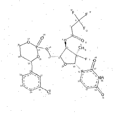 C[C@@]1(F)[C@H](OC(=O)CC(F)(F)F)[C@@H](COP2(=O)OCCC(c3cccc(Cl)c3)O2)O[C@H]1n1ccc(=O)[nH]c1=O